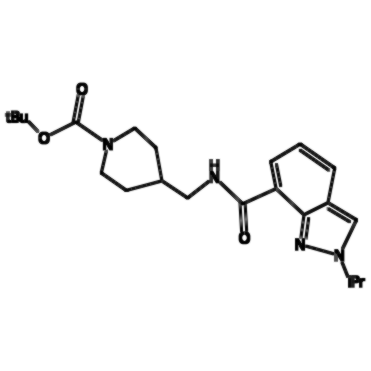 CC(C)n1cc2cccc(C(=O)NCC3CCN(C(=O)OC(C)(C)C)CC3)c2n1